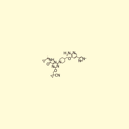 C[C@H](NC(=O)c1nc(OCC2(C#N)CC2)nc(N2CCC(COc3cc(-c4cn(C)cn4)cnc3N)CC2)n1)C1CC1